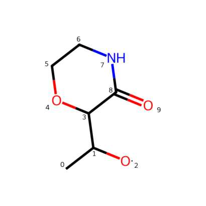 CC([O])C1OCCNC1=O